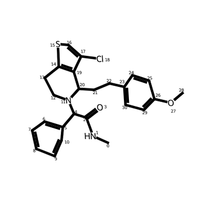 CNC(=O)C(c1ccccc1)N1CCc2scc(Cl)c2C1CCc1ccc(OC)cc1